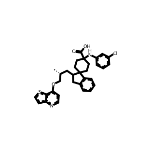 C[C@@H](COc1ccnc2ccsc12)CC1Cc2ccccc2C12CCC(Nc1cccc(Cl)c1)(C(=O)O)CC2